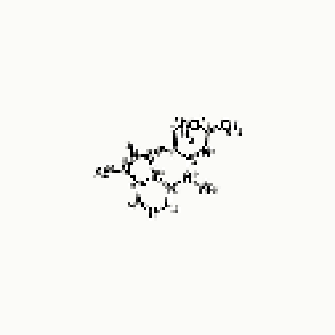 C=C(Cl)/N=C(\C(F)=C/N)N(CCC)c1cccc2c1cnn2C(C)=O